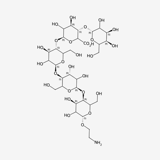 NCCO[C@H]1OC(CO)[C@H](O[C@H]2OC(CO)[C@@H](O[C@@H]3OC(CO)[C@@H](O[C@@H]4OC(C(=O)O)[C@@H](O[C@H]5OC(CO)[C@H](O)[C@H](O)C5O)[C@H](O)C4O)[C@H](O)C3O)[C@H](O)C2O)[C@H](O)C1O